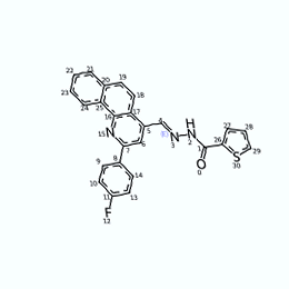 O=C(N/N=C/c1cc(-c2ccc(F)cc2)nc2c1ccc1ccccc12)c1cccs1